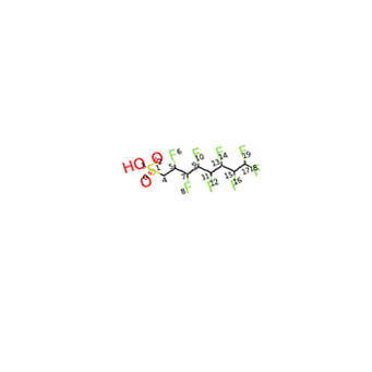 O=S(=O)(O)CC(F)C(F)C(F)C(F)C(F)C(F)C(F)F